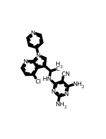 CC(Nc1nc(N)nc(N)c1C#N)c1cn(-c2ccncc2)c2nccc(Cl)c12